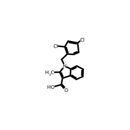 Cc1c(C(=O)O)c2ccccc2n1Cc1ccc(Cl)cc1Cl